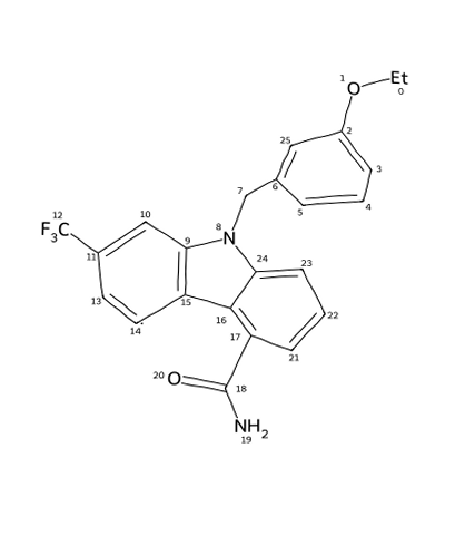 CCOc1cccc(Cn2c3cc(C(F)(F)F)c[c]c3c3c(C(N)=O)cccc32)c1